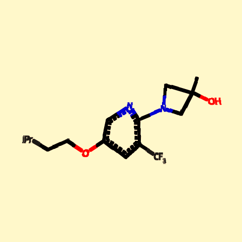 CC(C)CCOc1cnc(N2CC(C)(O)C2)c(C(F)(F)F)c1